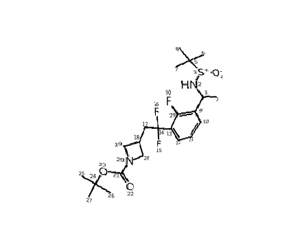 CC(N[S@@+]([O-])C(C)(C)C)c1cccc(C(F)(F)CC2CN(C(=O)OC(C)(C)C)C2)c1F